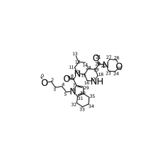 COCCCCn1c(C(=O)N(CC(C)C)C2CNCC(C(=O)N3CCOCC3)C2)cc2c1CCCC2